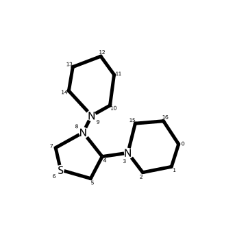 C1CCN(C2CSCN2N2CCCCC2)CC1